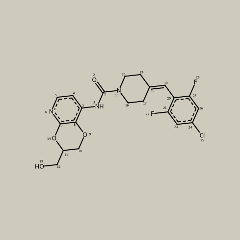 O=C(Nc1ccnc2c1OCC(CO)O2)N1CCC(=Cc2c(F)cc(Cl)cc2F)CC1